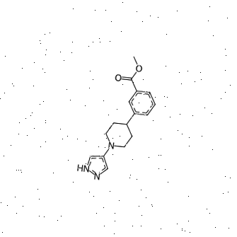 COC(=O)c1cccc(C2CCN(c3cn[nH]c3)CC2)c1